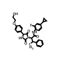 CC(c1ccccc1)C(C(=O)Nc1ccc(C2CC2)cc1F)N1C(=O)NC(c2ccc(OCCO)cc2)C1=O